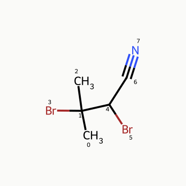 CC(C)(Br)C(Br)C#N